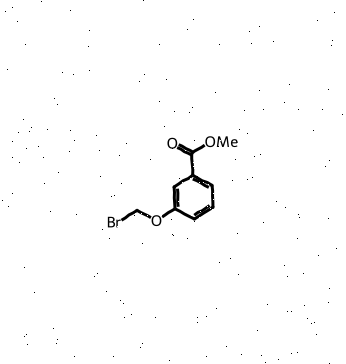 COC(=O)c1cccc(OCBr)c1